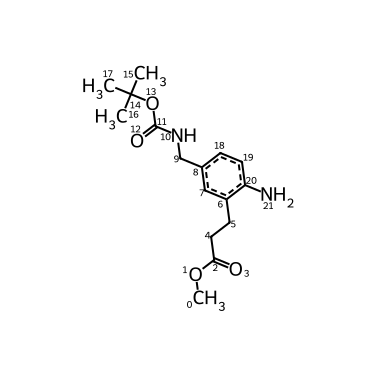 COC(=O)CCc1cc(CNC(=O)OC(C)(C)C)ccc1N